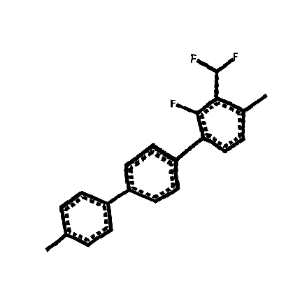 Cc1ccc(-c2ccc(-c3ccc(C)c(C(F)F)c3F)cc2)cc1